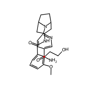 COc1cccc(C(=O)NC2CC3CCC(C2)N3c2ccc(C(N)=O)cn2)c1CCO